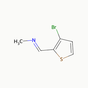 C/N=C/c1sccc1Br